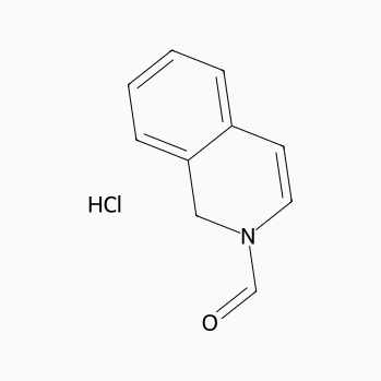 Cl.O=CN1C=Cc2ccccc2C1